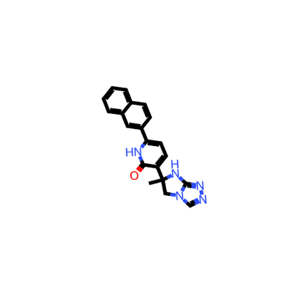 CC1(c2ccc(-c3ccc4ccccc4c3)[nH]c2=O)Cn2cnnc2N1